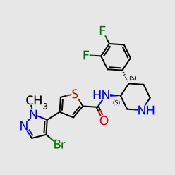 Cn1ncc(Br)c1-c1csc(C(=O)N[C@@H]2CNCC[C@H]2c2ccc(F)c(F)c2)c1